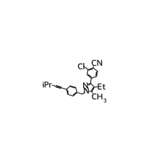 CCc1c(-c2ccc(C#N)c(Cl)c2)nn(Cc2ccc(C#CC(C)C)cc2)c1C